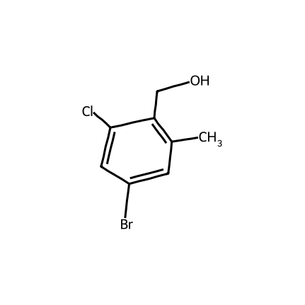 Cc1cc(Br)cc(Cl)c1CO